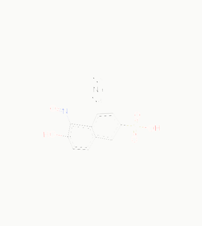 O=Nc1c(O)ccc2cc(S(=O)(=O)O)ccc12.[Na+].[Na+].[Na+]